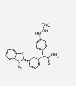 CCN1C(=C2C=CC=C(N(C(N)=S)c3ccc(NNC=O)cc3)C2)Sc2ccccc21